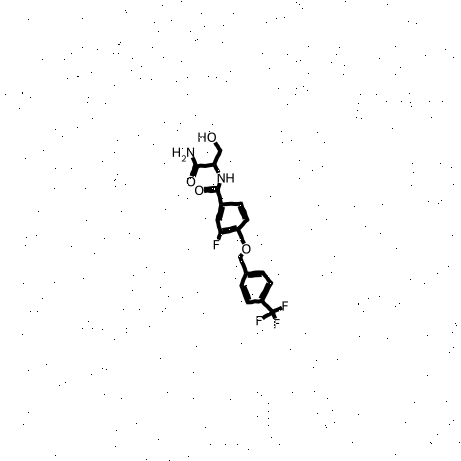 NC(=O)C(CO)NC(=O)c1ccc(OCc2ccc(C(F)(F)F)cc2)c(F)c1